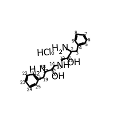 Cl.NC(Cc1ccccc1)C(O)CNC[C@@H](O)[C@@H](N)Cc1ccccc1